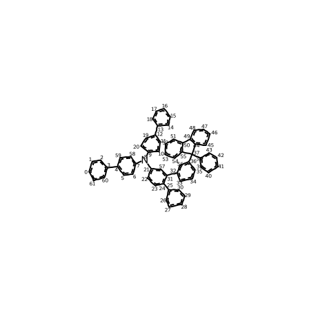 c1ccc(-c2ccc(N(c3ccc(-c4ccccc4)cc3)c3ccc(-c4ccccc4)c(-c4cccc(C5(c6ccccc6)c6ccccc6-c6ccccc65)c4)c3)cc2)cc1